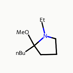 CCCCC1(OC)CCCN1CC